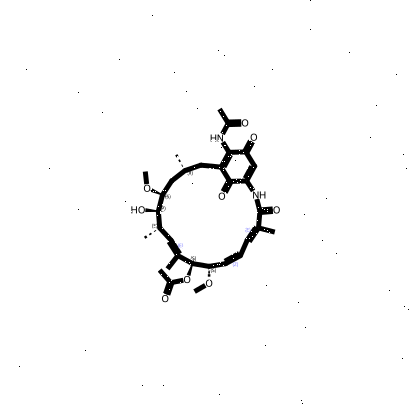 CO[C@H]1/C=C\C=C(/C)C(=O)NC2=CC(=O)C(NC(C)=O)=C(C[C@@H](C)C[C@H](OC)[C@H](O)[C@@H](C)/C=C(\C)[C@@H]1OC(C)=O)C2=O